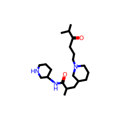 CC(C)C(=O)CCCN1CCCC(CC(C)C(=O)NC2CCCNC2)C1